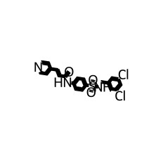 O=C(/C=C/c1ccncc1)Nc1ccc(S(=O)(=O)NCc2cc(Cl)cc(Cl)c2)cc1